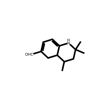 CC1CC(C)(C)NC2=CC=C(C=O)CC21